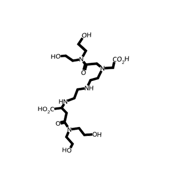 O=C(O)CN(CCNCCNC(CC(=O)N(CCO)CCO)C(=O)O)CC(=O)N(CCO)CCO